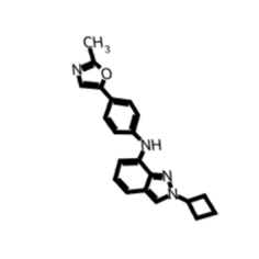 Cc1ncc(-c2ccc(Nc3cccc4cn(C5CCC5)nc34)cc2)o1